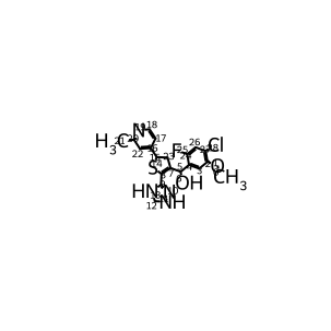 COc1cc(C(O)C2=C(C3=NNCN3)SC(c3ccnc(C)c3)C2)c(F)cc1Cl